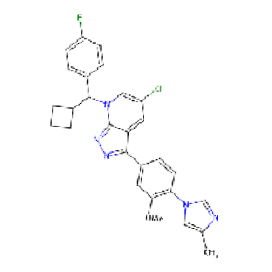 COc1cc(-c2nnc3n(C(c4ccc(F)cc4)C4CCC4)cc(Cl)cc2-3)ccc1-n1cnc(C)c1